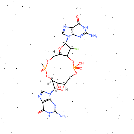 CP1(=O)OC[C@H]2O[C@@H](n3cnc4c(=O)[nH]c(N)nc43)[C@@H](F)C2OP(=O)(O)OC[C@H]2O[C@@H](n3cnc4c(=O)[nH]c(N)nc43)[C@@H](O1)C2O